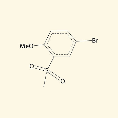 COc1ccc(Br)cc1S(C)(=O)=O